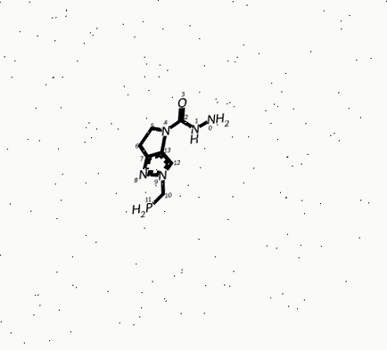 NNC(=O)N1CCc2nn(CP)cc21